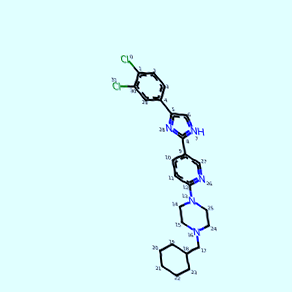 Clc1ccc(-c2c[nH]c(-c3ccc(N4CCN(CC5CCCCC5)CC4)nc3)n2)cc1Cl